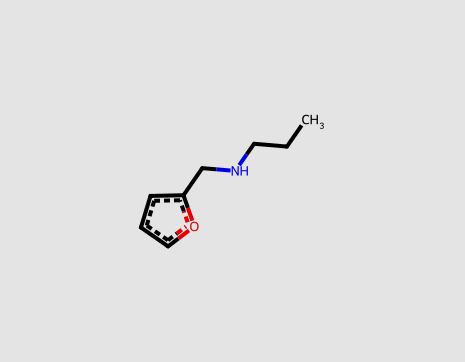 CCCNCc1ccco1